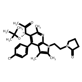 CC(=O)[C@@H](OC(C)(C)C)c1c(C)nc2c(c(C)c(C)n2CCN2CCCC2=O)c1-c1ccc(Cl)cc1